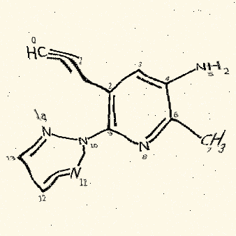 C#Cc1cc(N)c(C)nc1-n1nccn1